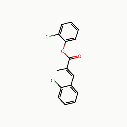 CC(=Cc1ccccc1Cl)C(=O)Oc1ccccc1Cl